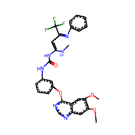 CN/C(=C\C(=N\c1ccccc1)C(F)(F)F)NC(=O)Nc1cccc(Oc2ncnc3cc(OC)c(OC)cc23)c1